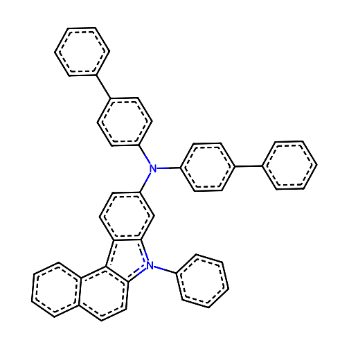 c1ccc(-c2ccc(N(c3ccc(-c4ccccc4)cc3)c3ccc4c5c6ccccc6ccc5n(-c5ccccc5)c4c3)cc2)cc1